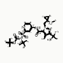 COC1(Cn2nc(C(C)(F)F)c(C)c2C(=O)Nc2ccnc(S(=O)(=O)N(C(=O)OC(C)(C)C)C(C)(C)C)c2)CC1